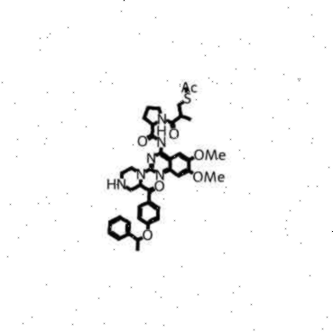 COc1cc2nc(N3CCNCC3C(=O)c3ccc(OC(C)c4ccccc4)cc3)nc(NC(=O)C3CCCN3C(=O)C(C)CSC(C)=O)c2cc1OC